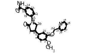 COc1ccc(C2CC(=O)N(c3cccc(C(N)=O)c3)C2)cc1OCc1ccccn1